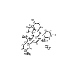 Cc1ccc(C(c2ccc(C)cc2)=c2c(C(C)(C)C)cc3c(c2C2=CC=CC2)[C]([Zr+2])=c2ccc(C(C)(C)C)cc2=3)cc1.[Cl-].[Cl-]